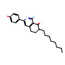 CCCCCCCCC1CCc2cc(-c3ccc(O)cc3)nc(F)c2C1=O